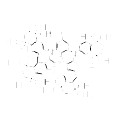 CC1(C)CCC(C)(C)c2cc(N3c4cc(Cl)cc5c4B(c4sc6cc7c(c8c6c4N5c4cc5c(cc4-8)C(C)(C)CCC5(C)C)C(C)(C)CCC7(C)C)c4c3sc3cc5c(cc43)C(C)(C)CCC5(C)C)ccc21